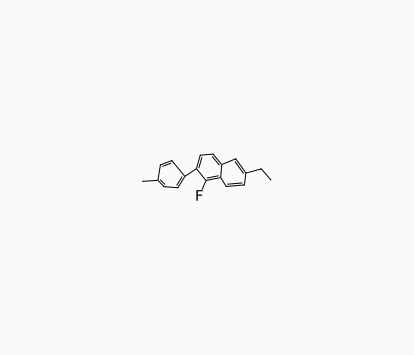 CCc1ccc2c(F)c(-c3ccc(C)cc3)ccc2c1